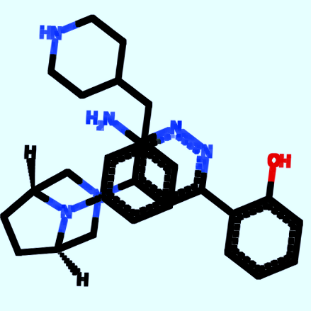 Nc1nnc(-c2ccccc2O)cc1N1C[C@H]2CC[C@@H](C1)N2c1cccc(CC2CCNCC2)c1